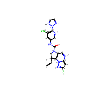 C=C[C@@]1(C)CN(C(=O)Nc2cnc(-n3nccn3)c(Cl)c2)c2cnc3cc(Cl)nn3c21